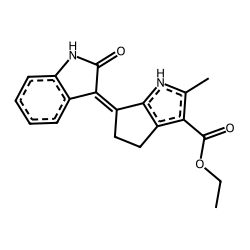 CCOC(=O)c1c(C)[nH]c2c1CC/C2=C1/C(=O)Nc2ccccc21